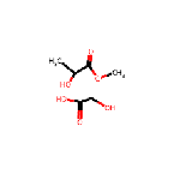 COC(=O)C(C)O.O=C(O)CO